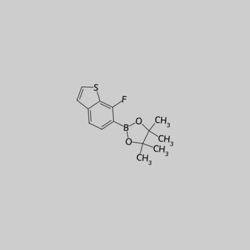 CC1(C)OB(c2ccc3ccsc3c2F)OC1(C)C